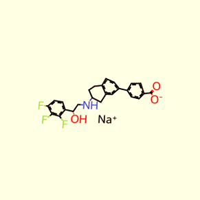 O=C([O-])c1ccc(-c2ccc3c(c2)C[C@@H](NC[C@H](O)c2ccc(F)c(F)c2F)CC3)cc1.[Na+]